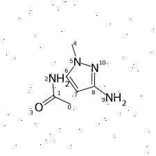 CC(N)=O.Cn1ccc(N)n1